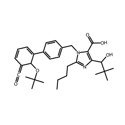 CCCCc1nc(C(O)C(C)(C)C)c(C(=O)O)n1Cc1ccc(C2=CC=CC(=C=O)C2OC(C)(C)C)cc1